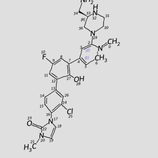 C=N/C(=C\C(=C/C)c1cc(F)cc(-c2ccc(-n3ccn(C)c3=O)c(Cl)c2)c1O)N1CCN[C@H](CN)C1